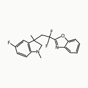 CN1CC(C)(CC(F)(F)c2nc3ccccc3o2)c2cc(F)ccc21